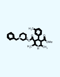 COC(=O)C1C(C)NC(C)=C(C(=O)O[C@@H]2CCCN(Cc3ccccc3)C2)C1c1cccc(C)c1